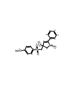 COc1ccc(S(=O)(=O)CC2(C)C=C(c3ccccc3)N(C(C)=O)C2)cc1